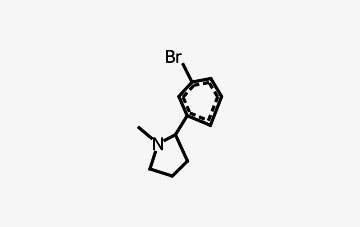 CN1CCCC1c1cccc(Br)c1